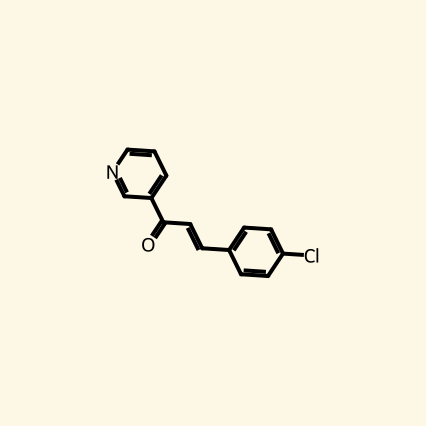 O=C(C=Cc1ccc(Cl)cc1)c1cccnc1